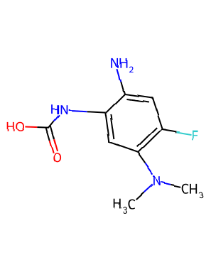 CN(C)c1cc(NC(=O)O)c(N)cc1F